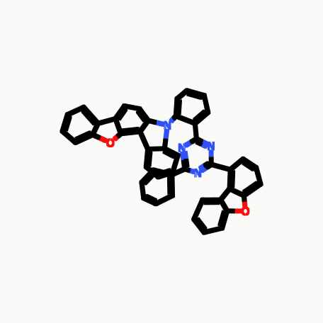 c1ccc(-c2nc(-c3ccccc3-n3c4ccccc4c4c5oc6ccccc6c5ccc43)nc(-c3cccc4oc5ccccc5c34)n2)cc1